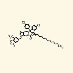 CCCCCCCCCCCCCCCC(c1ccc(Cl)cc1)(c1ccc(Cl)cc1)N1Cc2ncn(Cc3ccc(OC)c(C)c3)c2C[C@H]1C(=O)O